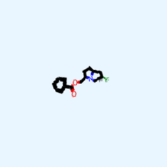 O=C(OCC1CCC2C[C@@H](F)CN12)c1ccccc1